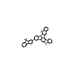 CC1(C)c2ccccc2-c2ccc(-c3ccc4c(c3)c3cc5sc6ccccc6c5c5c6cc7ccccc7nc6n4c35)cc21